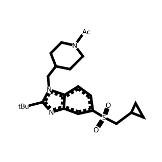 CC(=O)N1CCC(Cn2c(C(C)(C)C)nc3cc(S(=O)(=O)CC4CC4)ccc32)CC1